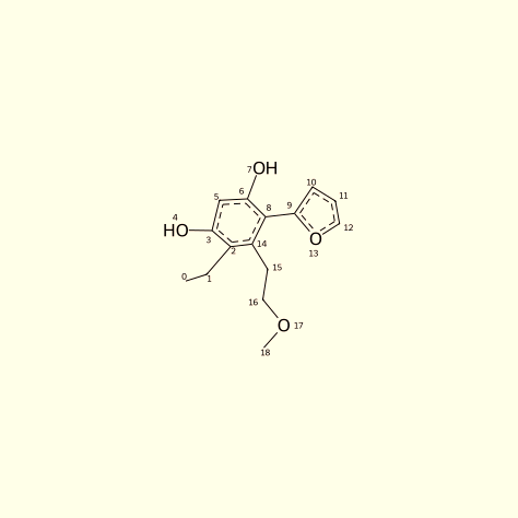 CCc1c(O)cc(O)c(-c2ccco2)c1CCOC